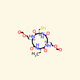 CC[C@@H]1NC(=O)C[C@H](CCOC=O)NC(=O)[C@H](CS)NC(=O)C[C@H](CCOC=O)NC1=O